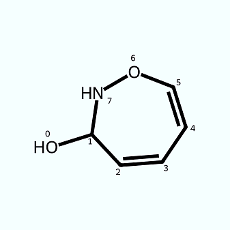 OC1C=CC=CON1